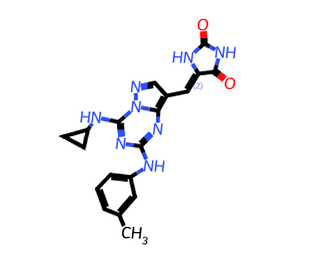 Cc1cccc(Nc2nc(NC3CC3)n3ncc(/C=C4\NC(=O)NC4=O)c3n2)c1